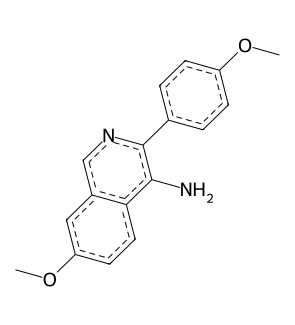 COc1ccc(-c2ncc3cc(OC)ccc3c2N)cc1